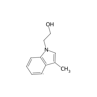 Cc1cn(CCO)c2ccc[c]c12